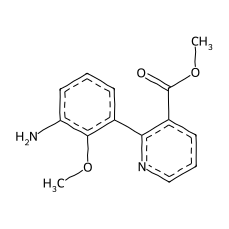 COC(=O)c1cccnc1-c1cccc(N)c1OC